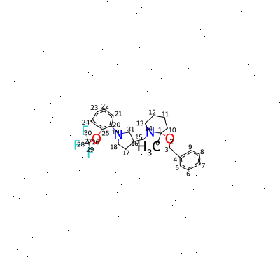 CC1(OCc2ccccc2)CCCCN1CC1CCN(c2ccccc2OC(F)(F)F)C1